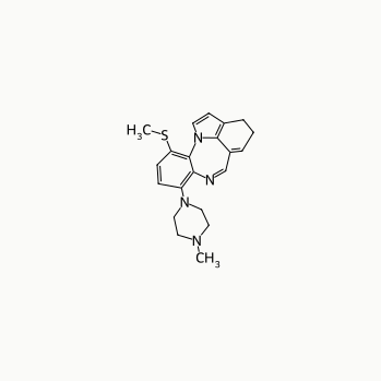 CSc1ccc(N2CCN(C)CC2)c2c1-n1ccc3c1C(=CCC3)C=N2